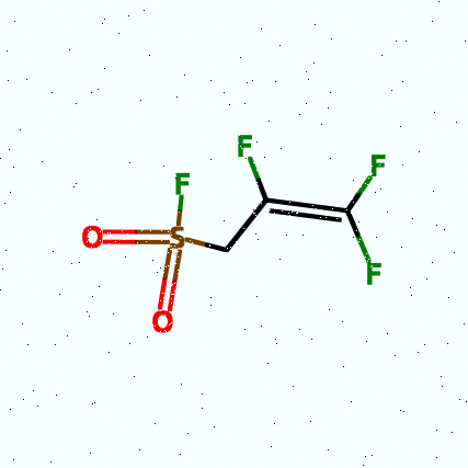 O=S(=O)(F)CC(F)=C(F)F